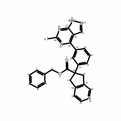 O=C(OCc1ccccc1)C1(c2cccc(-c3nc(I)nc4[nH]ncc34)c2)Cc2ccncc2C1